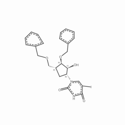 O=c1[nH]c(=O)n([C@@H]2C[C@H](COCc3ccccc3)[C@@H](OCc3ccccc3)[C@H]2O)cc1I